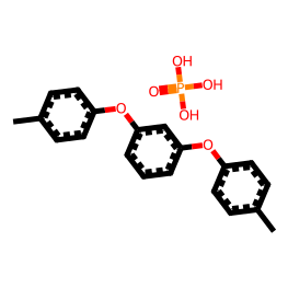 Cc1ccc(Oc2cccc(Oc3ccc(C)cc3)c2)cc1.O=P(O)(O)O